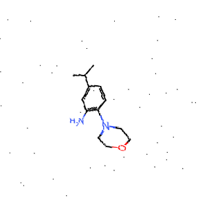 CC(C)c1ccc(N2CCOCC2)c(N)c1